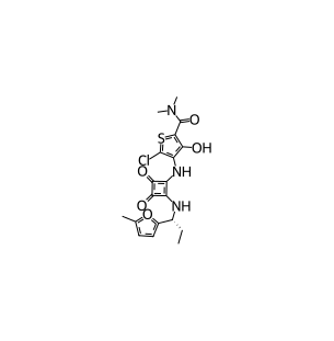 CC[C@@H](Nc1c(Nc2c(Cl)sc(C(=O)N(C)C)c2O)c(=O)c1=O)c1ccc(C)o1